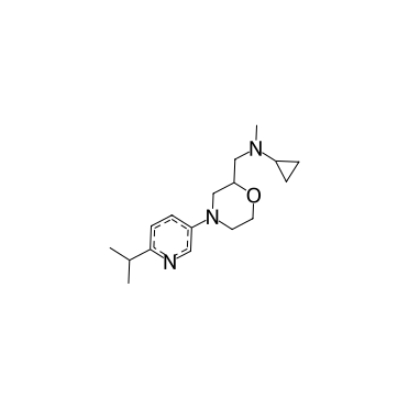 CC(C)c1ccc(N2CCOC(CN(C)C3CC3)C2)cn1